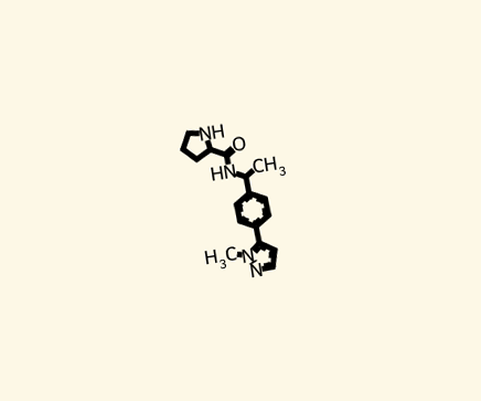 CC(NC(=O)C1CCCN1)c1ccc(-c2ccnn2C)cc1